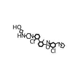 Cc1c(-c2nc3cc(CN4CCCC4)cc(Cl)c3o2)cccc1-c1cccc(N2CCC(NC3CC(O)C3)CC2)c1Cl